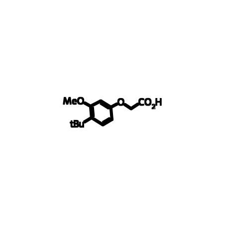 COc1cc(OCC(=O)O)ccc1C(C)(C)C